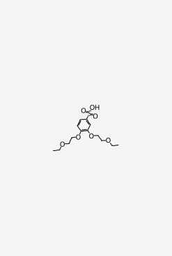 CCOCCOc1ccc(S(=O)(=O)O)cc1OCCOCC